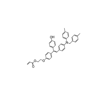 C=CC(=O)OCCOc1ccc(C(=Cc2ccc(N(Cc3ccc(C)cc3)c3ccc(C)cc3)cc2)c2ccc(O)cc2)cc1